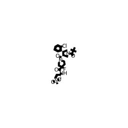 C[C@H](/C=C\S(C)(=O)=O)NC(=O)C1(F)CCN(C(=O)[C@H]2CN(C(=O)C(C)(C)C)C[C@H]2c2ccccc2Cl)CC1